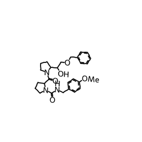 COc1ccc(CNC(=O)N2CCCC2C(=O)N2CCCC2C(O)COCc2ccccc2)cc1